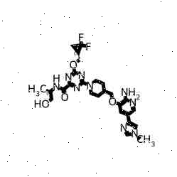 C[C@H](CO)NC(=O)c1nc(OC[C@@H]2CC2(F)F)nc(N2CCC(COc3cc(-c4cn(C)cn4)cnc3N)CC2)n1